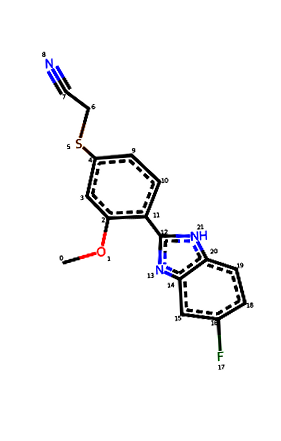 COc1cc(SCC#N)ccc1-c1nc2cc(F)ccc2[nH]1